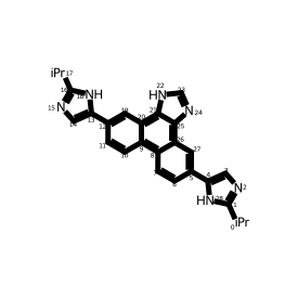 CC(C)c1ncc(-c2ccc3c4ccc(-c5cnc(C(C)C)[nH]5)cc4c4[nH]cnc4c3c2)[nH]1